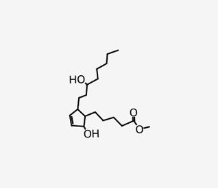 CCCCCC(O)CCC1C=CC(O)C1CCCCC(=O)OC